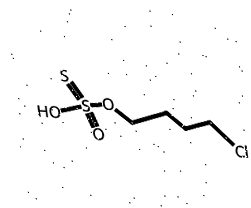 O=S(O)(=S)OCCCCCl